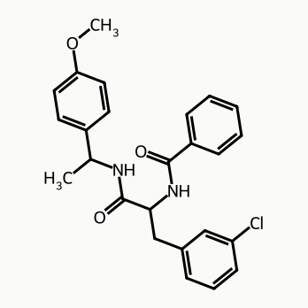 COc1ccc(C(C)NC(=O)C(Cc2cccc(Cl)c2)NC(=O)c2ccccc2)cc1